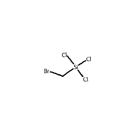 Cl[Si](Cl)(Cl)CBr